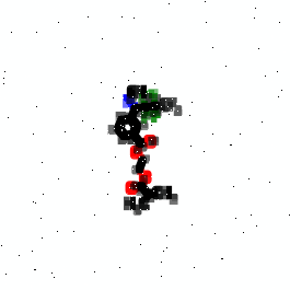 C=C(C)C(=O)OCCOC(=O)c1cccc(/C(=N/C)C(F)(F)C(F)(F)C(F)(F)F)c1